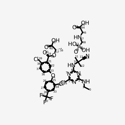 CCNc1nc(Cl)nc(NC(C)(C)C#N)n1.C[C@H](OC(=O)c1cc(Oc2ccc(C(F)(F)F)cc2Cl)ccc1Cl)C(=O)O.O=C(O)CNCP(=O)(O)O